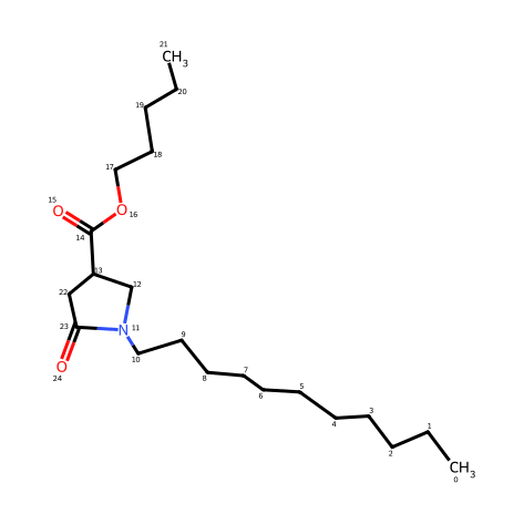 CCCCCCCCCCCN1CC(C(=O)OCCCCC)CC1=O